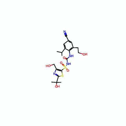 CC(C)c1cc(C#N)cc(CCO)c1NC(=O)NS(=O)(=O)c1sc(C(C)(C)O)nc1CO